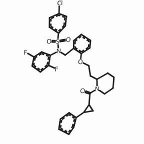 O=C(C1CC1c1ccccc1)N1CCCCC1CCOc1ccccc1CN(c1cc(F)ccc1F)S(=O)(=O)c1ccc(Cl)cc1